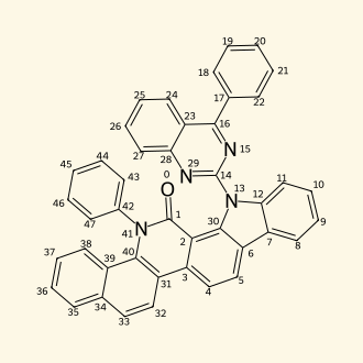 O=c1c2c(ccc3c4ccccc4n(-c4nc(-c5ccccc5)c5ccccc5n4)c32)c2ccc3ccccc3c2n1-c1ccccc1